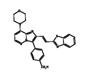 O=C(O)c1ccc(-c2c(C=Cc3nc4ccccc4s3)nc3c(N4CCOCC4)ccnn23)cc1